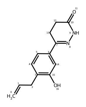 C=CCc1ccc(C2=NNC(=O)CC2)cc1O